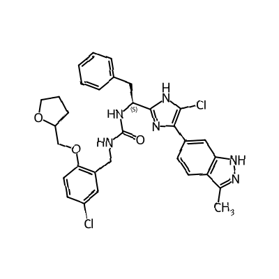 Cc1n[nH]c2cc(-c3nc([C@H](Cc4ccccc4)NC(=O)NCc4cc(Cl)ccc4OCC4CCCO4)[nH]c3Cl)ccc12